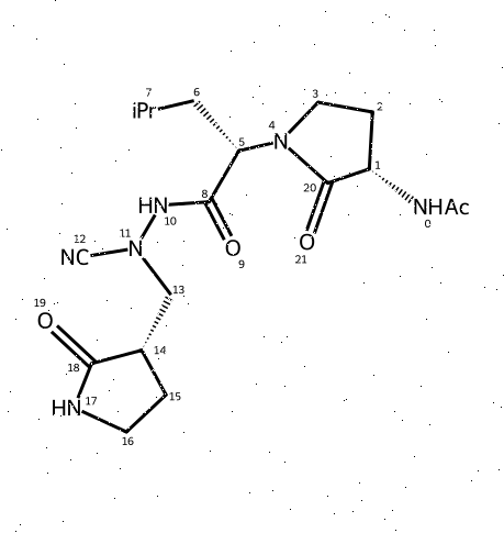 CC(=O)N[C@H]1CCN([C@@H](CC(C)C)C(=O)NN(C#N)C[C@@H]2CCNC2=O)C1=O